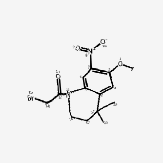 COc1cc2c(cc1[N+](=O)[O-])N(C(=O)CBr)CCC2(C)C